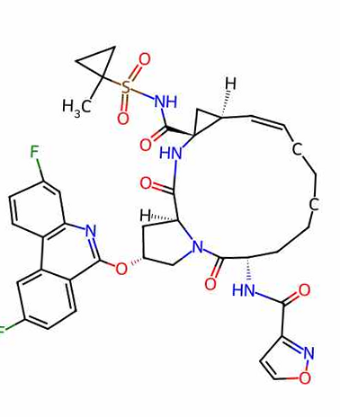 CC1(S(=O)(=O)NC(=O)[C@@]23C[C@H]2/C=C\CCCCC[C@H](NC(=O)c2ccon2)C(=O)N2C[C@H](Oc4nc5cc(F)ccc5c5cc(F)ccc45)C[C@H]2C(=O)N3)CC1